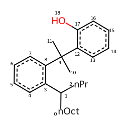 CCCCCCCCC(CCC)c1ccccc1C(C)(C)c1ccccc1O